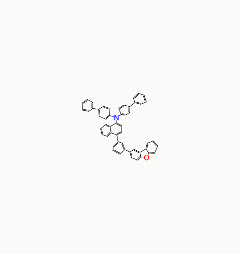 c1ccc(-c2ccc(N(c3ccc(-c4ccccc4)cc3)c3ccc(-c4cccc(-c5ccc6oc7ccccc7c6c5)c4)c4ccccc34)cc2)cc1